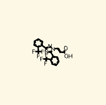 O=C(O)C=Cn1nc(-c2ccccc2C(F)(F)F)nc1-c1ccccc1C(F)(F)F